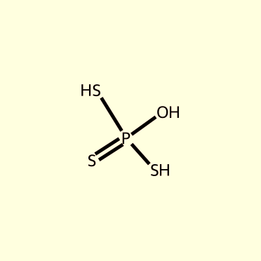 OP(=S)(S)S